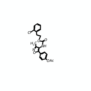 CC(=O)Oc1ccc(-c2onc(C)c2NC(=O)OCCc2ccccc2Cl)cc1